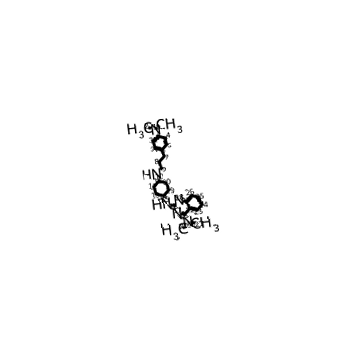 CN(C)c1ccc(CCCN[C@H]2CC[C@@H](Nc3nc(N(C)C)c4ccccc4n3)CC2)cc1